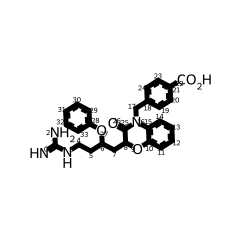 N=C(N)NCCC(CC1Oc2ccccc2N(Cc2ccc(C(=O)O)cc2)C1=O)Oc1ccccc1